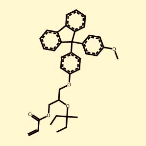 C=CC(=O)OCC(COc1ccc(C2(c3ccc(OC)cc3)c3ccccc3-c3ccccc32)cc1)OC(C)(CC)CC